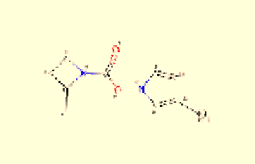 CC1CCN1C(=O)On1ccc([N+](=O)[O-])c1